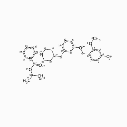 COc1cc(O)ccc1COc1cccc(CN2CCN(c3ncccc3C(=O)OC(C)C)CC2)c1